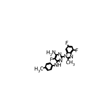 Cc1ccc(Nc2nc(-n3c(C)nc4c(F)cc(F)cc43)nc(N)c2F)cc1